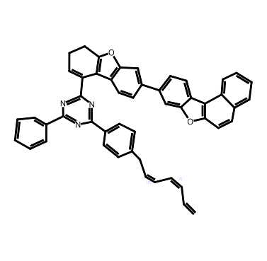 C=C/C=C\C=C/Cc1ccc(-c2nc(C3=CCCc4oc5cc(-c6ccc7c(c6)oc6ccc8ccccc8c67)ccc5c43)nc(-c3ccccc3)n2)cc1